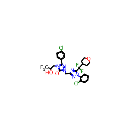 O=c1n(Cc2nc(C(F)(F)C3CCOCC3)n(-c3ccccc3Cl)n2)nc(-c2ccc(Cl)cc2)n1CC(O)C(F)(F)F